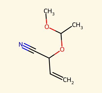 C=CC(C#N)OC(C)OC